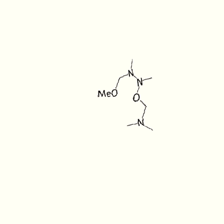 COCN(C)N(C)OCN(C)C